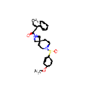 CCC(C(=O)N1CC2(CCN([S+]([O-])C3C=CC(OC)CC3)CC2)C1)c1ccccc1